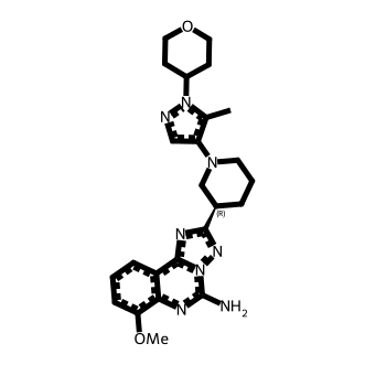 COc1cccc2c1nc(N)n1nc([C@@H]3CCCN(c4cnn(C5CCOCC5)c4C)C3)nc21